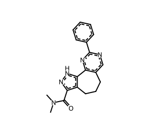 CN(C)C(=O)c1n[nH]c2c1CCCc1cnc(-c3ccccc3)nc1-2